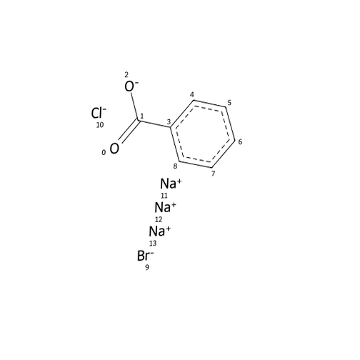 O=C([O-])c1ccccc1.[Br-].[Cl-].[Na+].[Na+].[Na+]